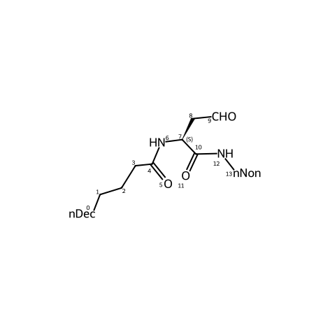 CCCCCCCCCCCCCC(=O)N[C@@H](CC=O)C(=O)NCCCCCCCCC